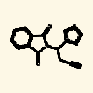 C#CCC(c1cscn1)N1C(=O)c2ccccc2C1=O